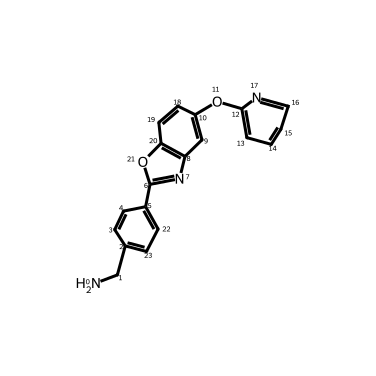 NCc1ccc(-c2nc3cc(Oc4ccccn4)ccc3o2)cc1